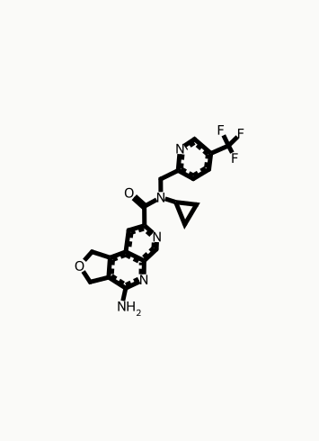 Nc1nc2cnc(C(=O)N(Cc3ccc(C(F)(F)F)cn3)C3CC3)cc2c2c1COC2